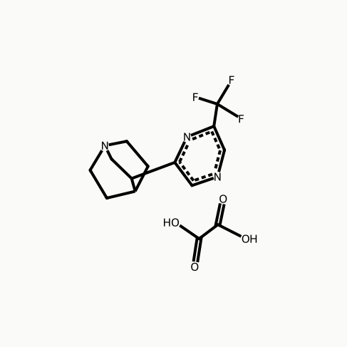 FC(F)(F)c1cncc(C2CN3CCC2CC3)n1.O=C(O)C(=O)O